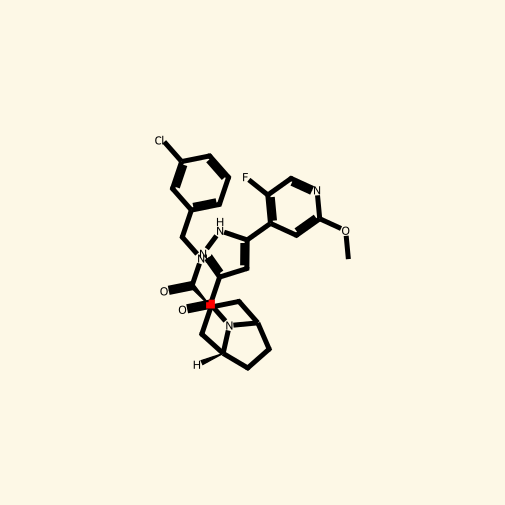 COc1cc(-c2cc(C(=O)N3C4CC[C@@H]3C[C@@H](C(=O)NCc3cccc(Cl)c3)C4)n[nH]2)c(F)cn1